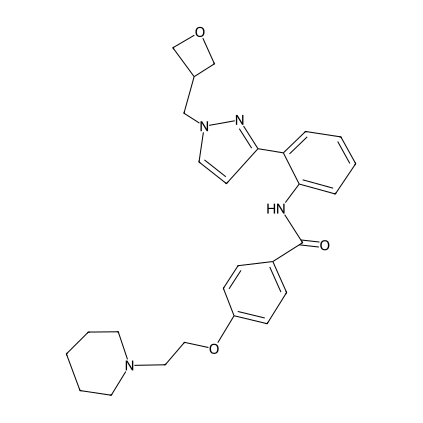 O=C(Nc1ccccc1-c1ccn(CC2COC2)n1)c1ccc(OCCN2CCCCC2)cc1